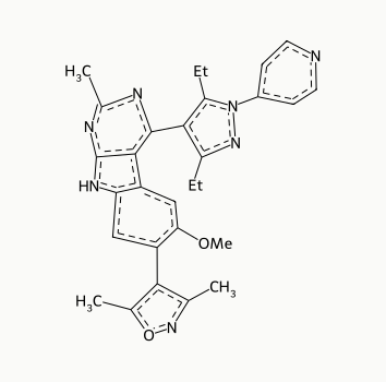 CCc1nn(-c2ccncc2)c(CC)c1-c1nc(C)nc2[nH]c3cc(-c4c(C)noc4C)c(OC)cc3c12